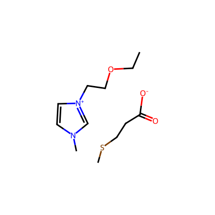 CCOCC[n+]1ccn(C)c1.CSCCC(=O)[O-]